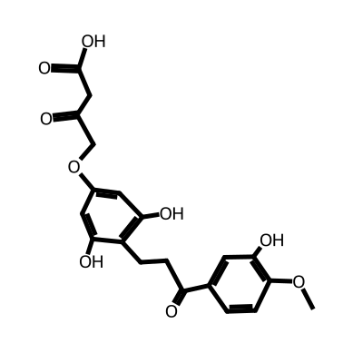 COc1ccc(C(=O)CCc2c(O)cc(OCC(=O)CC(=O)O)cc2O)cc1O